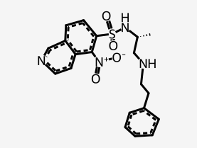 C[C@H](CNCCc1ccccc1)NS(=O)(=O)c1ccc2cnccc2c1[N+](=O)[O-]